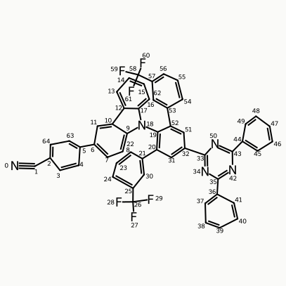 N#Cc1ccc(-c2ccc3c(c2)c2ccccc2n3-c2c(-c3cccc(C(F)(F)F)c3)cc(-c3nc(-c4ccccc4)nc(-c4ccccc4)n3)cc2-c2cccc(C(F)(F)F)c2)cc1